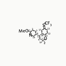 COc1ccc(C2=CC(C)(C)Oc3ccc(SC(F)(F)F)cc32)cn1